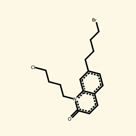 O=c1ccc2ccc(CCCCBr)cc2n1CCCCCl